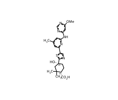 COc1cc(Nc2cc(C)cc(-c3cnc([C@@]4(O)CC[C@H](C(=O)O)C(C)(C)C4)s3)n2)ncn1